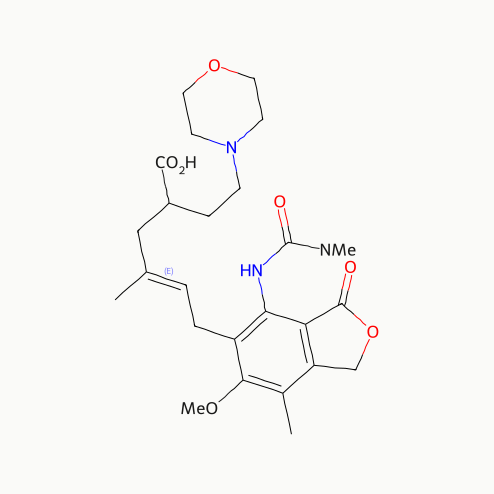 CNC(=O)Nc1c(C/C=C(\C)CC(CCN2CCOCC2)C(=O)O)c(OC)c(C)c2c1C(=O)OC2